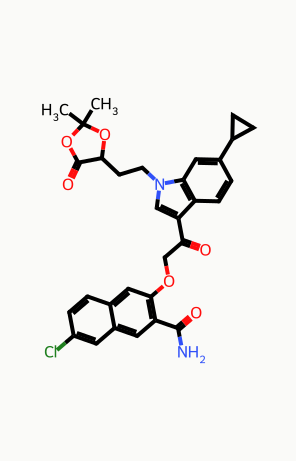 CC1(C)OC(=O)C(CCn2cc(C(=O)COc3cc4ccc(Cl)cc4cc3C(N)=O)c3ccc(C4CC4)cc32)O1